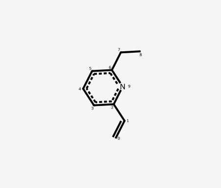 C=Cc1cccc(CC)n1